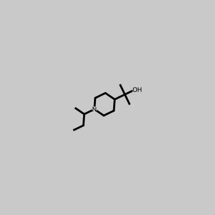 CCC(C)N1CCC(C(C)(C)O)CC1